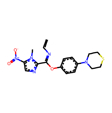 C=CN=C(Oc1ccc(N2CCSCC2)cc1)c1ncc([N+](=O)[O-])n1C